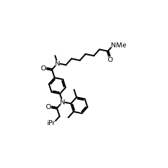 CNC(=O)CCCCCCN(C)C(=O)c1ccc(N(C(=O)CC(C)C)c2c(C)cccc2C)cc1